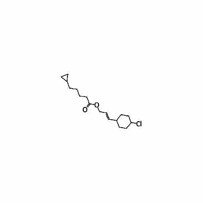 O=C(CCCCC1CC1)OCC=CC1CCC(Cl)CC1